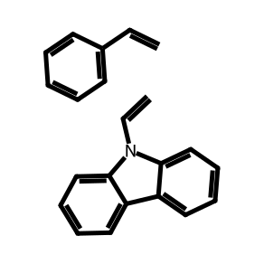 C=Cc1ccccc1.C=Cn1c2ccccc2c2ccccc21